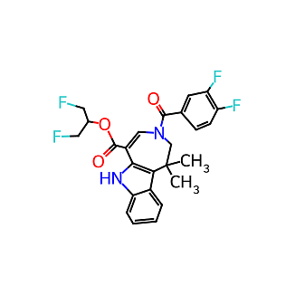 CC1(C)CN(C(=O)c2ccc(F)c(F)c2)C=C(C(=O)OC(CF)CF)c2[nH]c3ccccc3c21